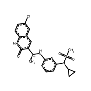 C[C@H](Nc1nccc(N(C2CC2)S(C)(=O)=O)n1)c1cc2cc(Cl)ccc2[nH]c1=O